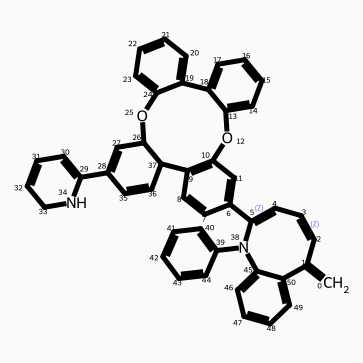 C=C1/C=C\C=C(\c2ccc3c(c2)Oc2ccccc2-c2ccccc2OC2C=C(C4=CC=CCN4)C=CC32)N(c2ccccc2)c2ccccc21